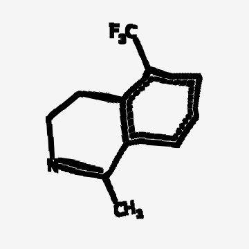 CC1=NCCc2c1cccc2C(F)(F)F